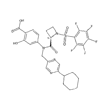 O=C(O)c1ccc(N(Cc2cnc(C3CCCCC3)cn2)C(=O)[C@H]2CCN2S(=O)(=O)c2c(F)c(F)c(F)c(F)c2F)cc1O